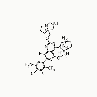 Cc1c(Cl)c(N)cc(-c2nc3c4c(nc(OC[C@@]56CCCN5C[C@H](F)C6)nc4c2F)N2C[C@H]4CC[C@H](N4)[C@H]2[C@H](C)O3)c1C(F)(F)F